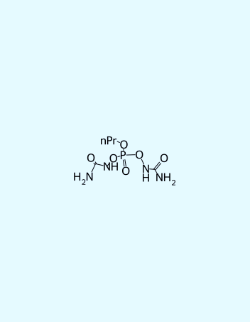 CCCOP(=O)(ONC(N)=O)ONC(N)=O